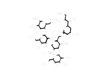 CC(=O)NC1[C@H](O[C@@H]2C(O)[C@H](O[C@@H]3C(CO)OC(O)C(O)[C@H]3O)OC(CO)[C@@H]2O)OC(CO[C@]2(C(=O)O)C[C@@H](O)[C@@H](C)C([C@H](O)[C@H](O)CO)O2)[C@@H](O)[C@@H]1O[C@@H]1OC(CO)[C@H](O)[C@H](O)C1O